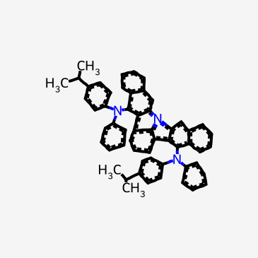 CC(C)c1ccc(N(c2ccccc2)c2c3ccccc3cc3c2c2cccc4c5c(N(c6ccccc6)c6ccc(C(C)C)cc6)c6ccccc6cc5n3c24)cc1